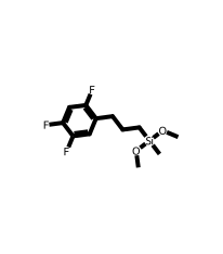 CO[Si](C)(CCCc1cc(F)c(F)cc1F)OC